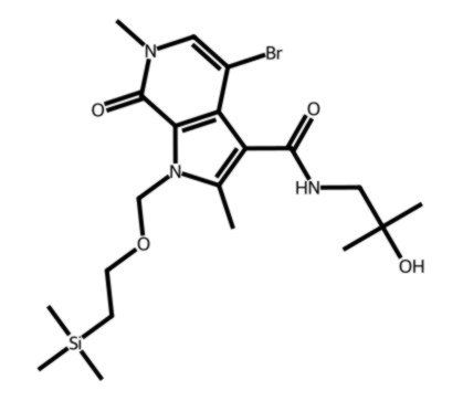 Cc1c(C(=O)NCC(C)(C)O)c2c(Br)cn(C)c(=O)c2n1COCC[Si](C)(C)C